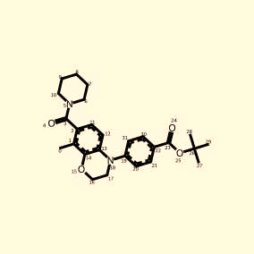 Cc1c(C(=O)N2CCCCC2)ccc2c1OCCN2c1ccc(C(=O)OC(C)(C)C)cc1